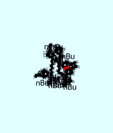 C=CCON1CCC(N(CCCCCCN(c2nc(N(CCCC)CCCC)nc(N(CCCC)CCCC)n2)C2CC(C)(C)N(OCC=C)C(C)(C)C2)c2nc(N(CCCCCCN(c3nc(C)nc(N(CCCC)CCCC)n3)C3CC(C)(C)N(OCC=C)C(C)(C)C3)C3CC(C)(C)N(OCC=C)C(C)(C)C3)nc(N(CCCC)C3CC(C)(C)N(OCCC)C(C)(C)C3)n2)CC1(C)C